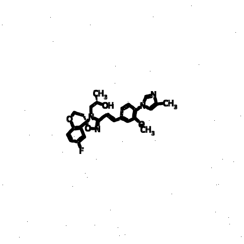 COc1cc(/C=C/C2=NO[C@]3(CCOc4ccc(F)cc43)N2C[C@H](C)O)ccc1-n1cnc(C)c1